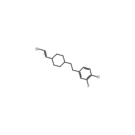 Fc1cc(CCC2CCC(/C=C/Cl)CC2)ccc1Cl